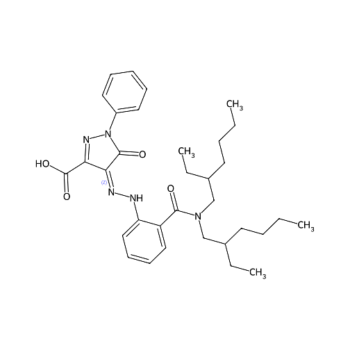 CCCCC(CC)CN(CC(CC)CCCC)C(=O)c1ccccc1N/N=C1\C(=O)N(c2ccccc2)N=C1C(=O)O